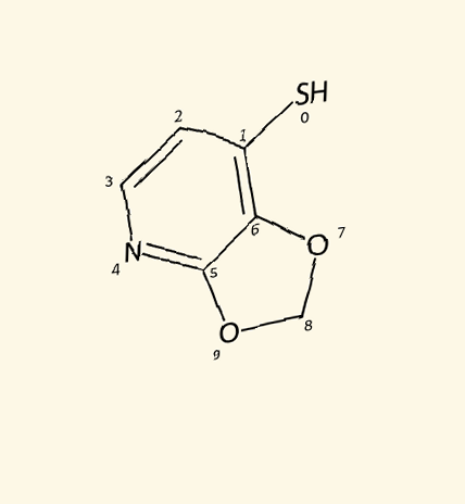 Sc1ccnc2c1OCO2